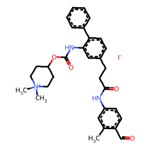 Cc1cc(NC(=O)CCc2ccc(-c3ccccc3)c(NC(=O)OC3CC[N+](C)(C)CC3)c2)ccc1C=O.[I-]